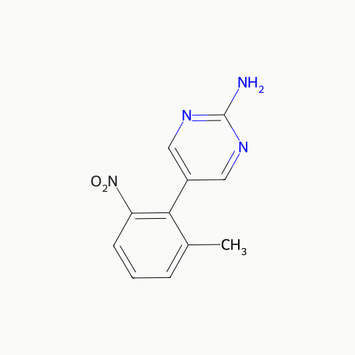 Cc1cccc([N+](=O)[O-])c1-c1cnc(N)nc1